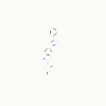 Cc1c(-c2ccc3c(c2)CN([C@@H]2CCC(=O)NC2=O)C3=O)nn(C)c1-c1ccccc1